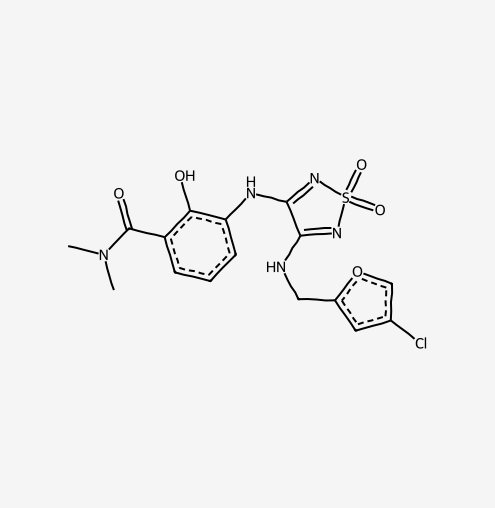 CN(C)C(=O)c1cccc(NC2=NS(=O)(=O)N=C2NCc2cc(Cl)co2)c1O